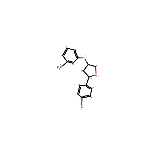 FC(F)(F)c1cccc(SC2COC(c3ccc(Cl)cc3)C2)c1